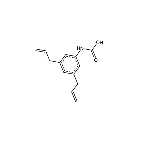 C=CCc1cc(CC=C)cc(NC(=O)O)c1